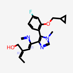 C=N/C(=C\C(=C/C)CO)c1ncn(C)c1-c1ccc(F)cc1OCC1CC1